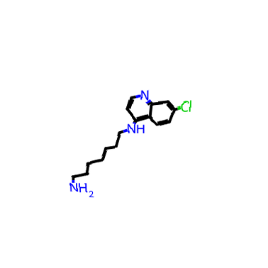 NCCCCCCCNc1ccnc2cc(Cl)ccc12